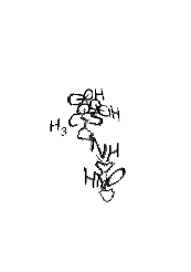 Cc1c(-c2cccc(NCc3ccc(C(=O)NC4CCCCC4)s3)c2)sc(C(=O)O)c1OCC(=O)O